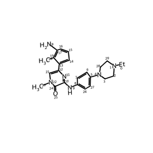 CCN1CCN(c2ccc(Nc3nc(-c4cccc(N)c4C)cn(C)c3=O)cc2)CC1